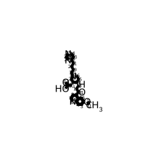 COc1ccc2nccc([C@@H](O)CC[C@@H]3CCN(CCCCc4ccncn4)C[C@@H]3CC(=O)O)c2c1